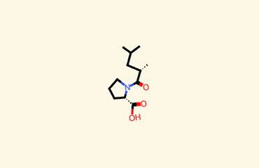 CC(C)C[C@H](C)C(=O)N1CCC[C@H]1C(=O)O